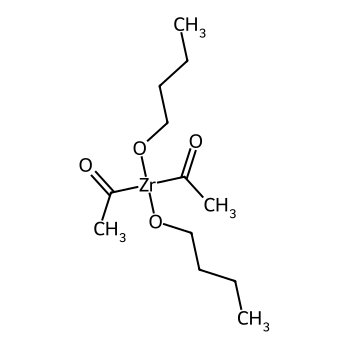 CCCC[O][Zr]([O]CCCC)([C](C)=O)[C](C)=O